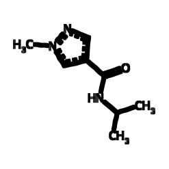 CC(C)NC(=O)c1cnn(C)c1